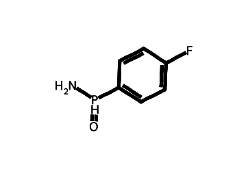 N[PH](=O)c1ccc(F)cc1